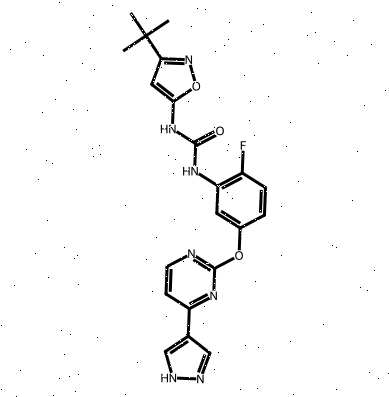 CC(C)(C)c1cc(NC(=O)Nc2cc(Oc3nccc(-c4cn[nH]c4)n3)ccc2F)on1